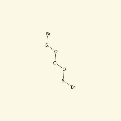 BrSOOOSBr